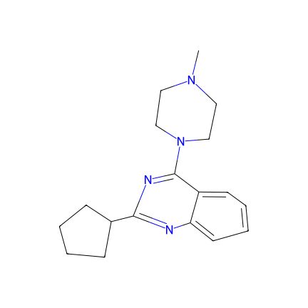 CN1CCN(c2nc(C3CCCC3)nc3ccccc23)CC1